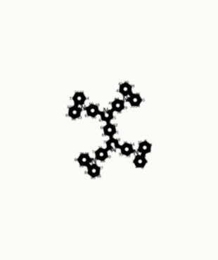 c1ccc2c(c1)c1ccccc1n2-c1ccc(-c2cc(-c3ccc(-c4cc(-c5ccc(-n6c7ccccc7c7ccccc76)cc5)nc(-c5ccc(-n6c7ccccc7c7ccccc76)cc5)c4)cc3)cc(-c3ccc(-n4c5ccccc5c5ccccc54)cc3)n2)cc1